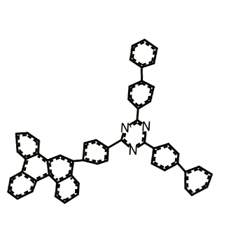 c1ccc(-c2ccc(-c3nc(-c4ccc(-c5ccccc5)cc4)nc(-c4ccc(-c5cc6c7ccccc7c7ccccc7c6c6ccccc56)cc4)n3)cc2)cc1